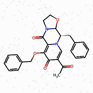 CC(=O)c1cn2c(c(OCc3ccccc3)c1=O)C(=O)N1CCOC1[C@@H]2Cc1ccccc1